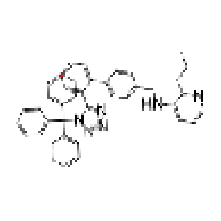 CCCc1ncccc1NCc1ccc(-c2ccccc2-c2nnnn2C(c2ccccc2)(c2ccccc2)c2ccccc2)cc1